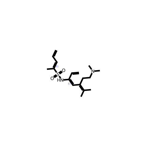 C=C/C=C(\C)S(=O)(=O)N/C(C=C)=C/C(CCN(C)C)=C(C)C